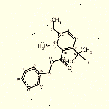 CCN1C=CC(C(C)(C)I)=C(C(=O)OCc2ccccc2)[C@@H]1P